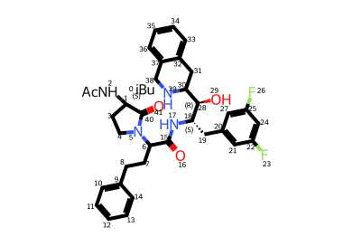 CC[C@H](C)C1(NC(C)=O)CCN(C(CCc2ccccc2)C(=O)N[C@@H](Cc2cc(F)cc(F)c2)[C@H](O)C2Cc3ccccc3CN2)C1=O